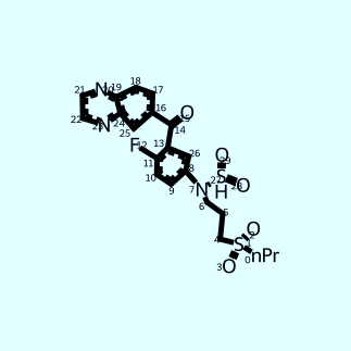 CCCS(=O)(=O)CCCN(c1ccc(F)c(C(=O)c2ccc3nccnc3c2)c1)[SH](=O)=O